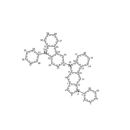 c1ccc(-n2ccc3cc4c(cc32)c2ccccc2n4-c2ccc3c(c2)c2ccccc2n3-c2ccccc2)cc1